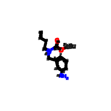 C=CCCN(Cc1cccc(N)c1)C(=O)OC(C)(C)C